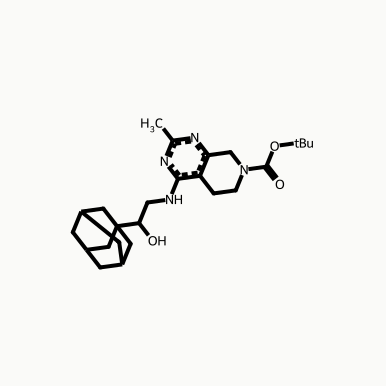 Cc1nc2c(c(NCC(O)C34CC5CC(CC(C5)C3)C4)n1)CCN(C(=O)OC(C)(C)C)C2